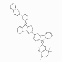 CC1(C)CCC(C)(C)c2cc(-n3c4ccccc4c4cc(-c5ccc6c(c5)c5ccccc5n6-c5cccc(-c6ccc7ccccc7c6)c5)ccc43)ccc21